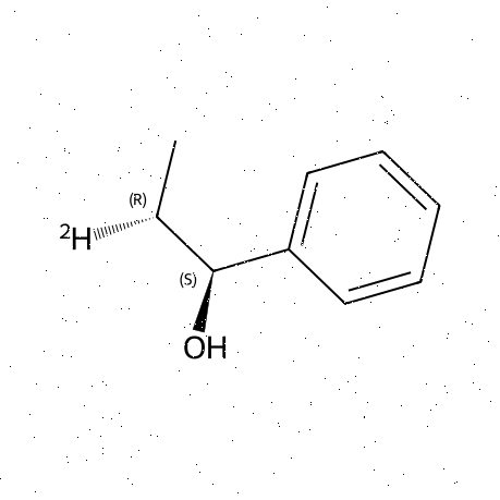 [2H][C@H](C)[C@H](O)c1ccccc1